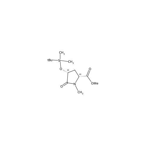 COC(=O)[C@H]1C[C@@H](O[Si](C)(C)C(C)(C)C)C(=O)N1C